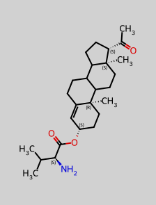 CC(=O)[C@H]1CCC2C3CCC4=C[C@@H](OC(=O)[C@@H](N)C(C)C)CC[C@]4(C)C3CC[C@@]21C